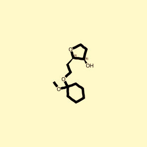 COC1(OCC[C@H]2OCC[C@H]2O)CCCCC1